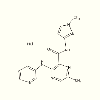 Cc1cnc(Nc2cccnc2)c(C(=O)Nc2ccn(C)n2)n1.Cl